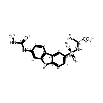 CCNC(=O)Nc1ccc2c(c1)oc1ccc(S(=O)(=O)N[C@@H](C(=O)O)C(C)C)cc12